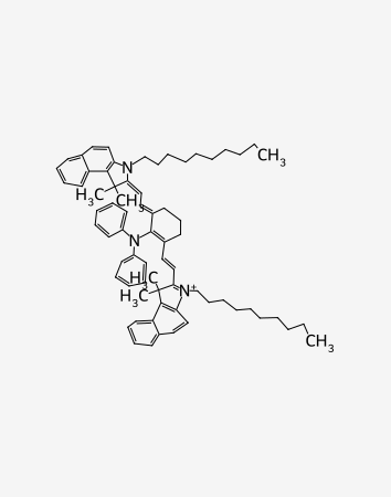 CCCCCCCCCCN1/C(=C/C=C2\CCCC(/C=C/C3=[N+](CCCCCCCCCC)c4ccc5ccccc5c4C3(C)C)=C2N(c2ccccc2)c2ccccc2)C(C)(C)c2c1ccc1ccccc21